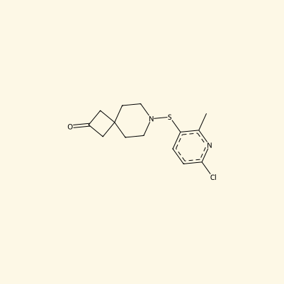 Cc1nc(Cl)ccc1SN1CCC2(CC1)CC(=O)C2